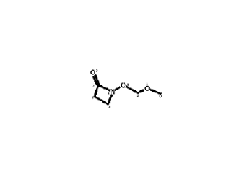 COCON1CCC1=O